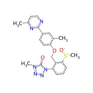 Cc1ccnc(-c2ccc(OCc3c(-n4nnn(C)c4=O)cccc3[S+](C)[O-])c(C)c2)n1